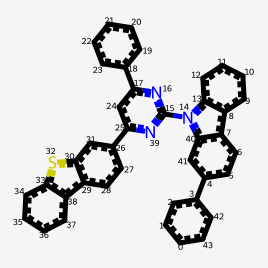 c1ccc(-c2ccc3c4ccccc4n(-c4nc(-c5ccccc5)cc(-c5ccc6c(c5)sc5ccccc56)n4)c3c2)cc1